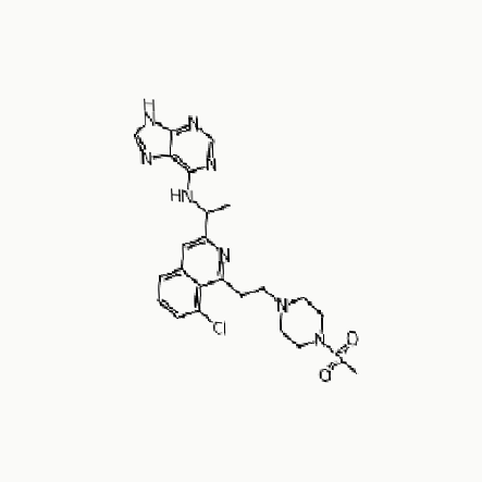 CC(Nc1ncnc2[nH]cnc12)c1cc2cccc(Cl)c2c(CCN2CCN(S(C)(=O)=O)CC2)n1